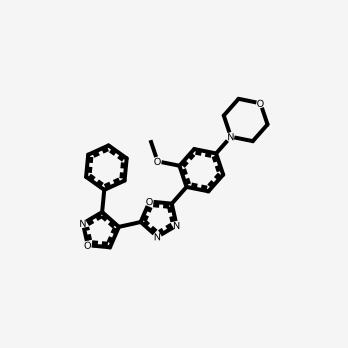 COc1cc(N2CCOCC2)ccc1-c1nnc(-c2conc2-c2ccccc2)o1